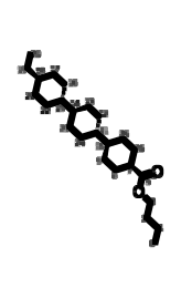 CCCCOC(=O)[C@H]1CC[C@@H]([C@H]2CC[C@H]([C@H]3CC[C@H](CC)CC3)CC2)CC1